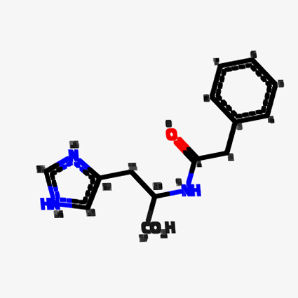 O=C(Cc1ccccc1)NC(Cc1c[nH]cn1)C(=O)O